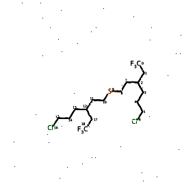 FC(F)(F)CC(CCCCl)CCSCCC(CCCCl)CC(F)(F)F